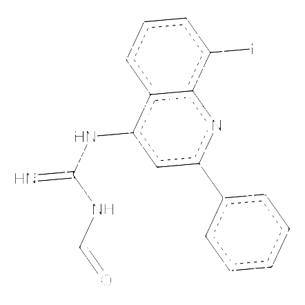 N=C(NC=O)Nc1cc(-c2ccccc2)nc2c(I)cccc12